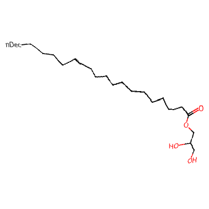 CCCCCCCCCCCCCCCCCCCCCCCCCCCC(=O)OCC(O)CO